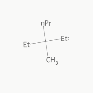 C[C]C(C)(CC)CCC